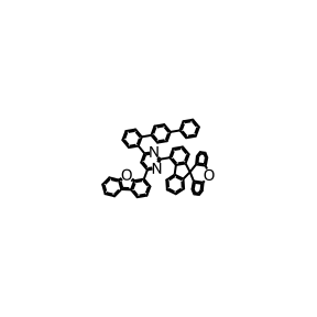 c1ccc(-c2ccc(-c3ccccc3-c3cc(-c4cccc5c4oc4ccccc45)nc(-c4cccc5c4-c4ccccc4C54c5ccccc5Oc5ccccc54)n3)cc2)cc1